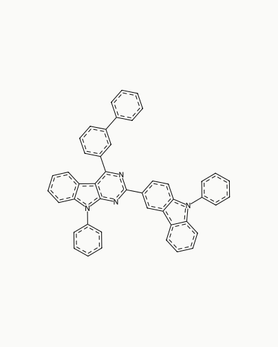 c1ccc(-c2cccc(-c3nc(-c4ccc5c(c4)c4ccccc4n5-c4ccccc4)nc4c3c3ccccc3n4-c3ccccc3)c2)cc1